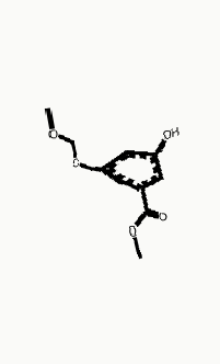 COCOc1cc(O)cc(C(=O)OC)c1